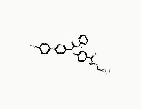 CC(C)(C)c1ccc(-c2ccc([C@@H](Cc3ccc(C(=O)NCCS(=O)(=O)O)cc3)C(=O)Nc3ccccc3)cc2)cc1